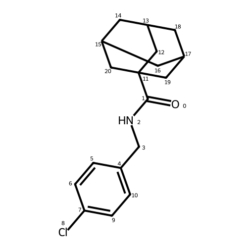 O=C(NCc1ccc(Cl)cc1)C12CC3CC(CC(C3)C1)C2